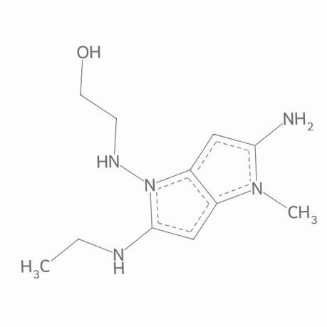 CCNc1cc2c(cc(N)n2C)n1NCCO